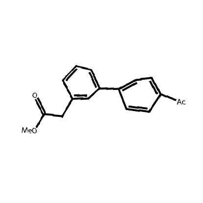 COC(=O)Cc1cccc(-c2ccc(C(C)=O)cc2)c1